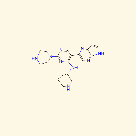 c1cc2nc(-c3cnc(N4CCNCC4)nc3N[C@H]3CCCNC3)cnc2[nH]1